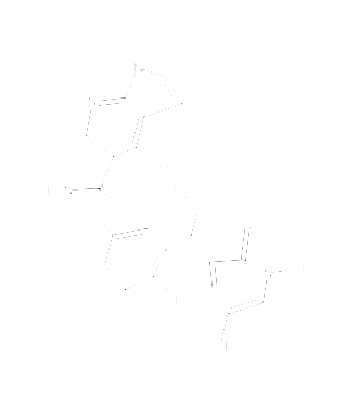 Cc1cc(C(CC#Cc2c(C(N)=O)cnc3[nH]ccc23)c2cc(F)ccc2F)c(=O)n(C)c1